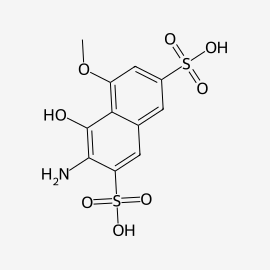 COc1cc(S(=O)(=O)O)cc2cc(S(=O)(=O)O)c(N)c(O)c12